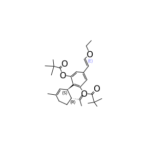 C=C(C)[C@@H]1CCC(C)=C[C@H]1c1c(OC(=O)C(C)(C)C)cc(/C=C/OCC)cc1OC(=O)C(C)(C)C